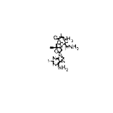 C#C[C@]1(COC(=O)[C@@H](C)N)O[C@@H](n2cnc3c(N)nc(F)nc32)C[C@@H]1OC(=O)[C@@H](C)N